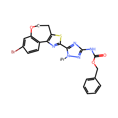 CC(C)n1nc(NC(=O)OCc2ccccc2)nc1-c1nc2c(s1)CCOc1cc(Br)ccc1-2